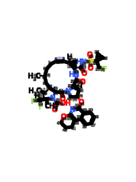 CC[C@@H]1C[C@H](C)CC/C=C\[C@@H]2C[C@@]2(C(=O)NS(=O)(=O)C2(CF)CC2)NC(=O)[C@@H]2C[C@@H](Oc3nc4c(c5ccccc35)CCCO4)CN2C(=O)[C@H]1N(C(=O)O)C(C)(C)C(F)(F)F